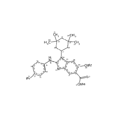 COC(=O)c1cc2nc(Nc3ccc(C(C)C)cc3)n(C3CC(C)(C)CC(C)(C)C3)c2cc1OC